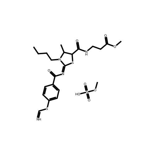 CCCCN1C(=NC(=O)c2ccc(SC=N)cc2)SC(C(=O)NCCC(=O)OC)C1C.COS(=O)(=O)O